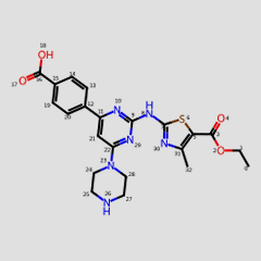 CCOC(=O)c1sc(Nc2nc(-c3ccc(C(=O)O)cc3)cc(N3CCNCC3)n2)nc1C